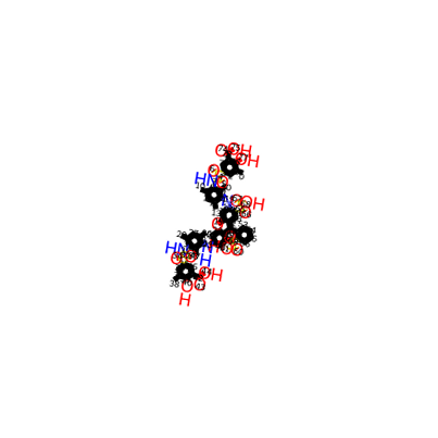 Cc1cc(S(=O)(=O)Nc2c(C)cc(C)c(/N=c3\cc4oc5cc(Nc6c(C)cc(C)c(NS(=O)(=O)c7cc(C)c(O)c(C(=O)O)c7)c6C)ccc5c(-c5ccccc5S(=O)(=O)O)c-4cc3S(=O)(=O)O)c2C)cc(C(=O)O)c1O